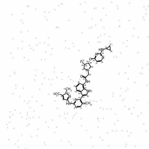 Cc1cnc(Nc2cc(C)n(C)n2)nc1-c1c[nH]c2c(NC(=O)CN3C[C@@H](F)[C@H](Oc4ccnc(NC5CC5)n4)C3)cccc12